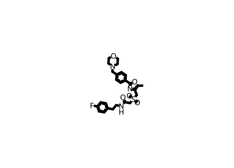 Cc1oc(-c2ccc(CN3CCOCC3)cc2)nc1CS(=O)(=O)CC(=O)NCCc1ccc(F)cc1